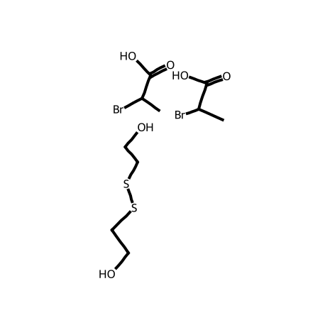 CC(Br)C(=O)O.CC(Br)C(=O)O.OCCSSCCO